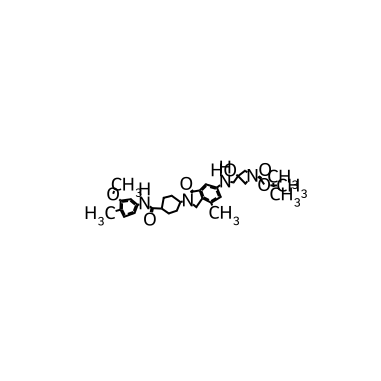 COc1cc(NC(=O)C2CCC(N3Cc4c(C)cc(NCC5(O)CN(C(=O)OC(C)(C)C)C5)cc4C3=O)CC2)ccc1C